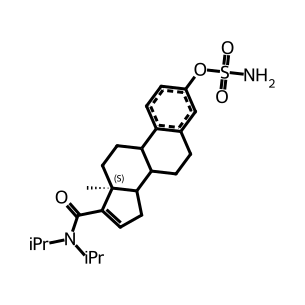 CC(C)N(C(=O)C1=CCC2C3CCc4cc(OS(N)(=O)=O)ccc4C3CC[C@]12C)C(C)C